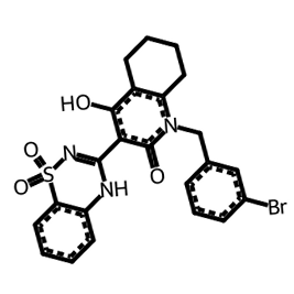 O=c1c(C2=NS(=O)(=O)c3ccccc3N2)c(O)c2c(n1Cc1cccc(Br)c1)CCCC2